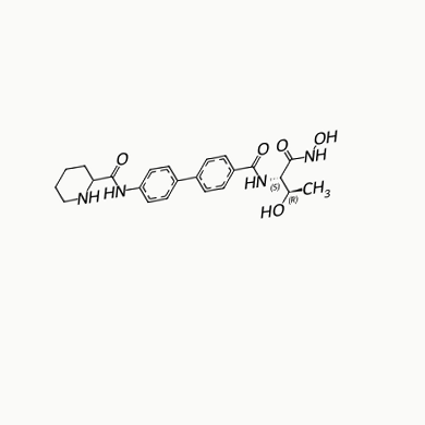 C[C@@H](O)[C@H](NC(=O)c1ccc(-c2ccc(NC(=O)C3CCCCN3)cc2)cc1)C(=O)NO